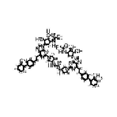 CCC(=O)N[C@H]1C[C@@H](n2cnc3c(CCc4ccc(-c5ccccc5C)cc4)nc(N4CC[C@@H](NC(=O)N[C@@H]5CCN(c6nc(CCc7ccc(-c8ccccc8C#N)cc7)c7ncn([C@@H]8C[C@H](NC(=O)CC)[C@@H](O)[C@H]8O)c7n6)C5)C4)nc32)[C@H](O)[C@@H]1O